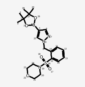 CC1(C)OB(c2cnn(Cc3ccccc3S(=O)(=O)N3CCOCC3)c2)OC1(C)C